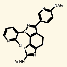 CNc1ccc(-c2nn(-c3cccnc3Cl)c3c2CCc2nc(NC(C)=O)sc2-3)cn1